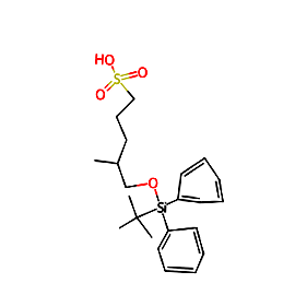 CC(CCCS(=O)(=O)O)CO[Si](c1ccccc1)(c1ccccc1)C(C)(C)C